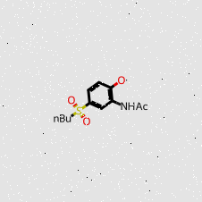 CCCCS(=O)(=O)c1ccc([O])c(NC(C)=O)c1